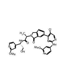 COc1cc(Nc2ncc(Cl)c(-c3ccc4c(c3)C(=O)N([C@H](C)C(=O)N[C@H](CO)c3ccnc(OC)c3)C4)n2)ccn1